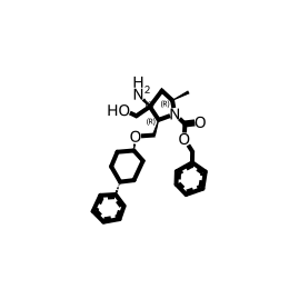 C[C@@H]1C[C@@](N)(CO)[C@H](CO[C@H]2CC[C@@H](c3ccccc3)CC2)N1C(=O)OCc1ccccc1